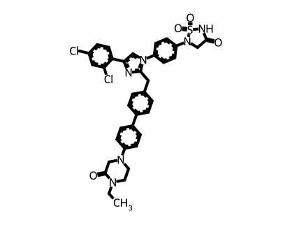 CCN1CCN(c2ccc(-c3ccc(Cc4nc(-c5ccc(Cl)cc5Cl)cn4-c4ccc(N5CC(=O)NS5(=O)=O)cc4)cc3)cc2)CC1=O